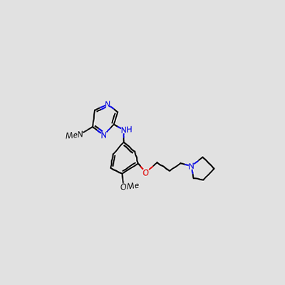 CNc1cncc(Nc2ccc(OC)c(OCCCN3CCCC3)c2)n1